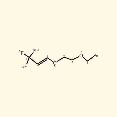 CCOCCOC=CC(F)(F)F